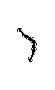 C=COC(=O)CCCCCCOc1ccc(OC(=O)c2ccc(OC(=O)c3cccc(OC(=O)c4ccc(OC(=O)c5ccc(OCCCCCCOC(=O)C=C)cc5)cc4)c3)cc2)cc1